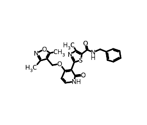 Cc1nc(-c2c(OCc3c(C)noc3C)cc[nH]c2=O)sc1C(=O)NCc1ccccc1